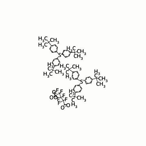 CC(C)(C)c1ccc([S+](c2ccc(C(C)(C)C)cc2)c2ccc(C(C)(C)C)cc2)cc1.CC(C)(C)c1ccc([S+](c2ccc(C(C)(C)C)cc2)c2ccc(C(C)(C)C)cc2)cc1.O=C([O-])C(F)(F)C(F)(F)C(F)(F)S(=O)(=O)[O-]